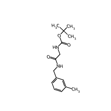 Cc1cccc(CNC(=O)CNC(=O)OC(C)(C)C)c1